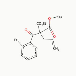 C=CCC(C(=O)OCC)(C(=O)OC(C)(C)C)C(=O)c1ccccc1CC